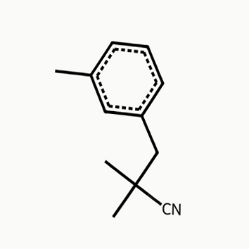 Cc1cccc(CC(C)(C)C#N)c1